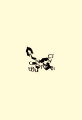 CC(C)(C)OC(=O)N(CCN1CCCCC1)c1cc(Cl)nc2c(Br)cnn12